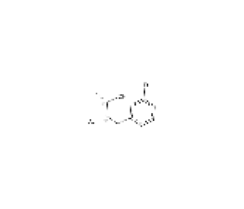 CCc1cccc(C[C@H](C(C)=O)[C@H](C)O)c1